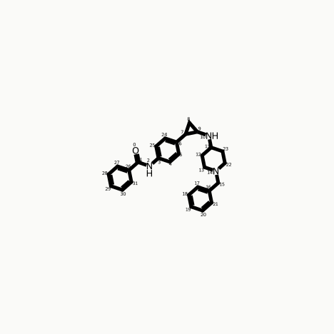 O=C(Nc1ccc(C2CC2NC2CCN(Cc3ccccc3)CC2)cc1)c1ccccc1